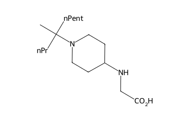 CCCCCC(C)(CCC)N1CCC(NCC(=O)O)CC1